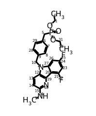 CCOP(=O)(Cc1ccc(Cn2c3ccc(NC)nc3c3c(F)cc(F)cc32)cc1)OCC